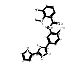 COc1c(F)cccc1C(=O)Nc1cc(-c2nnc(-c3ccco3)o2)ccc1F